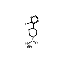 CCCN[S+]([O-])N1CCC(c2cccnc2F)CC1